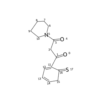 O=C(CC(=O)N1CCCCC1)C1=CC=CCC1=S